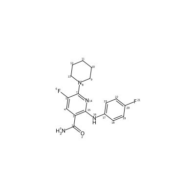 NC(=O)c1cc(F)c(N2CCCCC2)nc1Nc1ccc(F)cc1